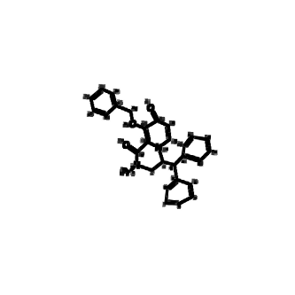 CC(C)N1CC(C(c2ccccc2)c2ccccc2)n2ccc(=O)c(OCc3ccccc3)c2C1=O